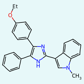 CCOc1ccc(-c2nc(-c3cn(C)c4ccccc34)[nH]c2-c2ccccc2)cc1